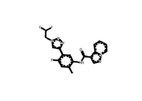 Cc1cc(F)c(-c2cn(CC(F)F)nn2)cc1NC(=O)c1cnn2ccccc12